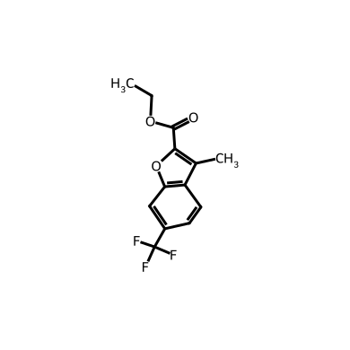 CCOC(=O)c1oc2cc(C(F)(F)F)ccc2c1C